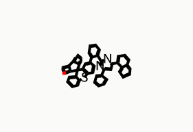 c1ccc(-c2cc(-c3cccc4ccccc34)nc(-c3ccccc3-c3ccc4c(c3)C3(c5ccccc5S4)c4ccccc4-c4ccccc43)n2)cc1